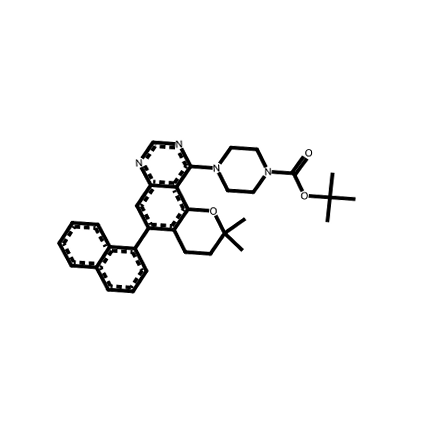 CC(C)(C)OC(=O)N1CCN(c2ncnc3cc(-c4cccc5ccccc45)c4c(c23)OC(C)(C)CC4)CC1